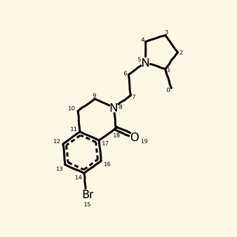 CC1CCCN1CCN1CCc2ccc(Br)cc2C1=O